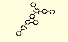 c1ccc(-c2ccc(-c3nc(-c4ccccc4)nc(-c4ccc5c6ccc(-c7ccc(-c8ccccn8)cn7)cc6c6ccccc6c5c4)n3)cc2)cc1